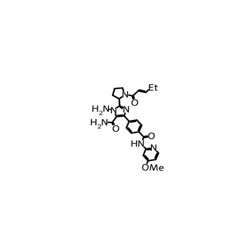 CCC=CC(=O)N1CCCC1c1nc(-c2ccc(C(=O)Nc3cc(OC)ccn3)cc2)c(C(N)=O)n1N